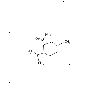 CC1CCC(C(C)C)CC1.NC=O